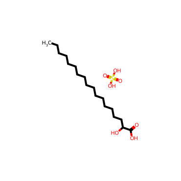 CCCCCCCCCCCCCCCCC(O)C(=O)O.O=S(=O)(O)O